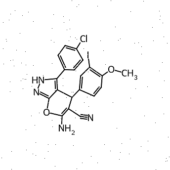 COc1ccc(C2C(C#N)=C(N)Oc3n[nH]c(-c4ccc(Cl)cc4)c32)cc1I